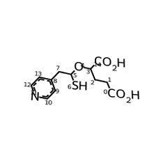 O=C(O)CCC(OC(S)Cc1ccncc1)C(=O)O